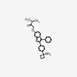 CN(C)C(=O)COc1ccn2c(-c3ccccc3)c(-c3ccc(C4(N)CCC4)cc3)nc2c1